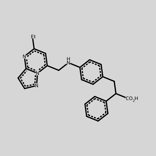 CCc1cc(CNc2ccc(CC(C(=O)O)c3ccccc3)cc2)n2nccc2n1